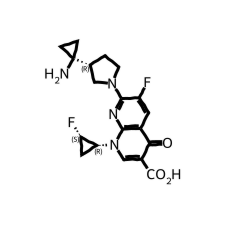 NC1([C@@H]2CCN(c3nc4c(cc3F)c(=O)c(C(=O)O)cn4[C@@H]3C[C@@H]3F)C2)CC1